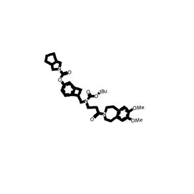 COc1cc2c(cc1OC)CCN(C(=O)CCN(CC1Cc3cc(OC(=O)N4CC5CCCC5C4)ccc31)C(=O)OC(C)(C)C)CC2